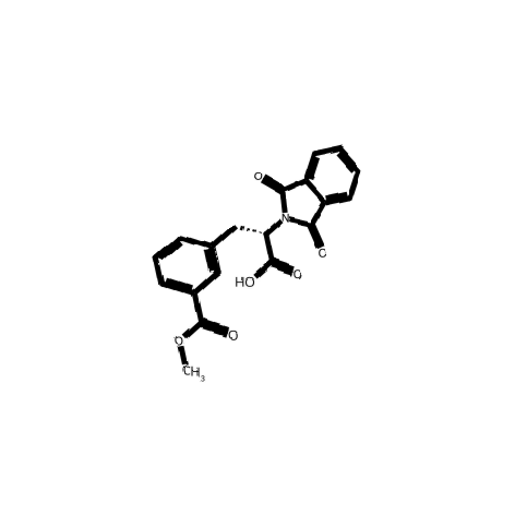 COC(=O)c1cccc(C[C@@H](C(=O)O)N2C(=O)c3ccccc3C2=O)c1